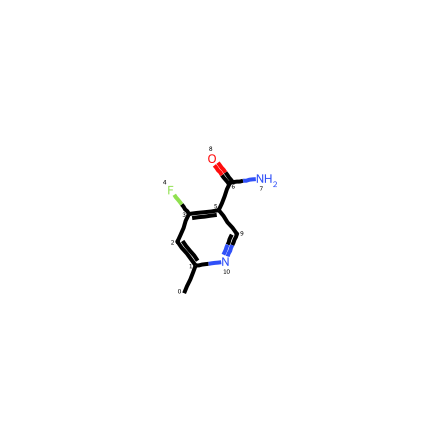 Cc1cc(F)c(C(N)=O)cn1